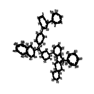 c1ccc(-c2cccc(-c3ccc(N(c4cccc(-c5cccc6c5c5cc7ccccc7cc5n6-c5ccccc5)c4)c4ccc5ccccc5c4)cc3)c2)cc1